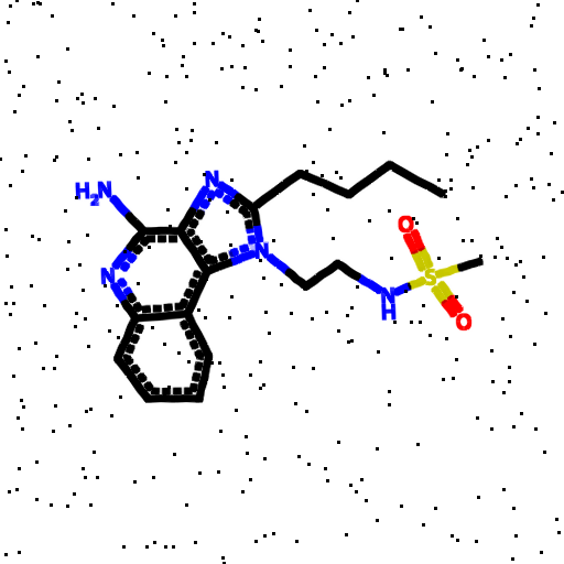 CCCCc1nc2c(N)nc3ccccc3c2n1CCNS(C)(=O)=O